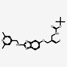 Cc1cc(CNc2nc3ccc(OC/C(=C/F)CNC(=O)OC(C)(C)C)cc3o2)cc(C)n1